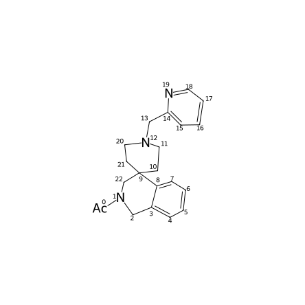 CC(=O)N1Cc2ccccc2C2(CCN(Cc3ccccn3)CC2)C1